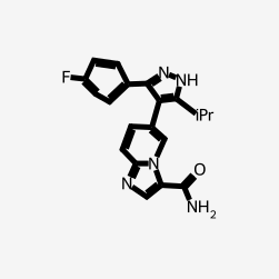 CC(C)c1[nH]nc(-c2ccc(F)cc2)c1-c1ccc2ncc(C(N)=O)n2c1